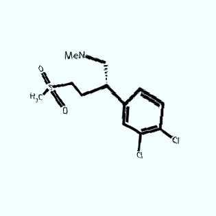 CNC[C@@H](CCS(C)(=O)=O)c1ccc(Cl)c(Cl)c1